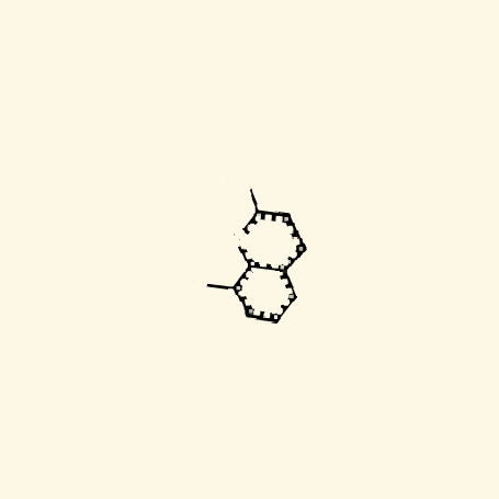 Cc1ccc2cccc(C(=O)[O-])c2n1.[Li+]